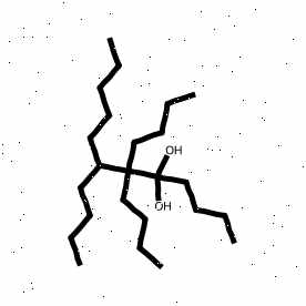 CCCCCC(CCCC)C(CCCC)(CCCC)C(O)(O)CCCC